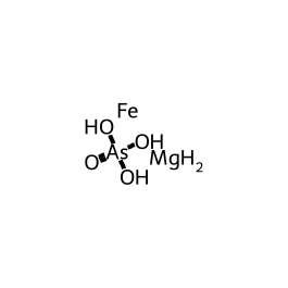 O=[As](O)(O)O.[Fe].[MgH2]